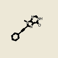 Cn1c(C#Cc2ccccc2)nc2c(=O)[nH]cnc21